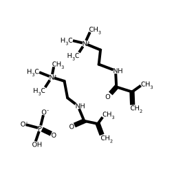 C=C(C)C(=O)NCC[N+](C)(C)C.C=C(C)C(=O)NCC[N+](C)(C)C.O=P([O-])([O-])O